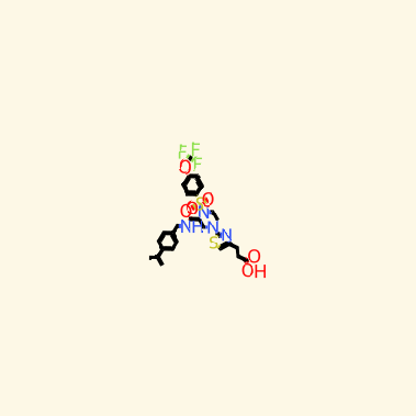 CC(C)c1ccc(CNC(=O)C2CN(c3nc(CCC(=O)O)cs3)CCN2S(=O)(=O)c2ccc(OC(F)(F)F)cc2)cc1